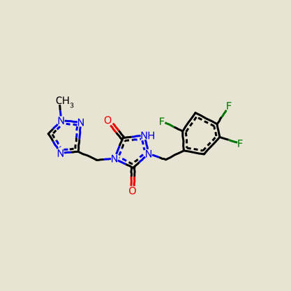 Cn1cnc(Cn2c(=O)[nH]n(Cc3cc(F)c(F)cc3F)c2=O)n1